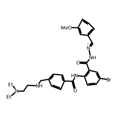 CCN(CC)CCNCc1ccc(C(=O)Nc2ccc(Br)cc2C(=O)N/N=C/c2cccc(OC)c2)cc1